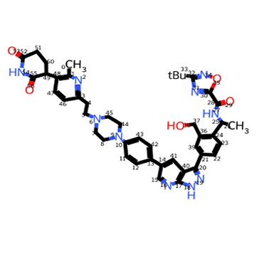 Cc1nc(CCN2CCN(c3ccc(-c4cnc5[nH]nc(-c6ccc(C(C)NC(=O)c7nc(C(C)(C)C)no7)c(CO)c6)c5c4)cc3)CC2)ccc1C1CCC(=O)NC1=O